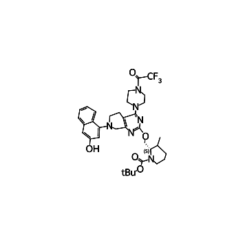 CC1CCCN(C(=O)OC(C)(C)C)[C@@H]1COc1nc2c(c(N3CCN(C(=O)C(F)(F)F)CC3)n1)CCN(c1cc(O)cc3ccccc13)C2